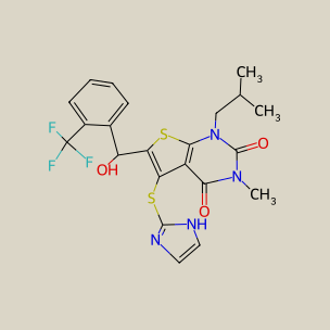 CC(C)Cn1c(=O)n(C)c(=O)c2c(Sc3ncc[nH]3)c(C(O)c3ccccc3C(F)(F)F)sc21